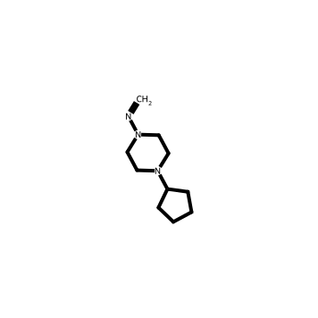 C=NN1CCN(C2CCCC2)CC1